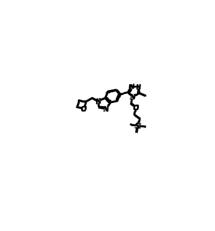 Cc1nnc(-c2ccc3c(c2)ncn3CC2CCO2)n1COCC[Si](C)(C)C